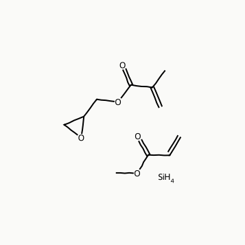 C=C(C)C(=O)OCC1CO1.C=CC(=O)OC.[SiH4]